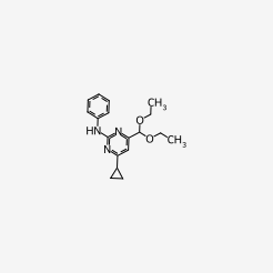 CCOC(OCC)c1cc(C2CC2)nc(Nc2ccccc2)n1